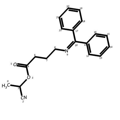 CC(C#N)OC(=O)CCCN=C(c1ccccc1)c1ccccc1